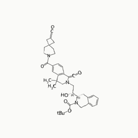 CC(C)(C)OC(=O)N1Cc2ccccc2C[C@H]1[C@H](O)CN1CC(C)(C)c2cc(C(=O)N3CCC4(CC3)CC(=C=O)C4)ccc2C1=C=O